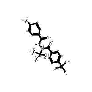 Cc1ccc(C(=O)NN(C(=O)c2ccc(C(F)(F)F)cc2)C(C)(C)C)cc1